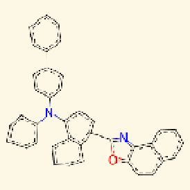 c1ccc(-c2ccc(N(c3ccccc3)c3ccc(-c4nc5c(ccc6ccccc65)o4)c4ccccc34)cc2)cc1